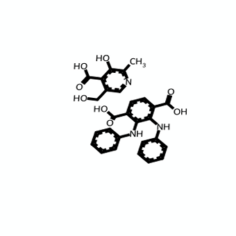 Cc1ncc(CO)c(C(=O)O)c1O.O=C(O)c1ccc(C(=O)O)c(Nc2ccccc2)c1Nc1ccccc1